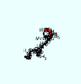 COc1cc2cc(c1Cl)N(C)C(=O)C[C@H](OC(=O)[C@H](N)N(C)C(=O)CCSC1CC(=O)N(CC3CCC(C(=O)NCCCCNC4(C(=O)CCCNC(=O)[C@H](CCCCN)NC(=O)C(Cc5ccccc5)NC(=O)CC(C)(C)COCCOC(C)(C)CCC(=O)NCC(=O)N5Cc6ccccc6/C=C\C6C=CC=CC65)CC4)CC3)C1=O)[C@]1(N)O[C@H]1[C@H](C)[C@@H]1C[C@@](O)(NC(=O)O1)[C@H](O)/C=C/C=C(\C)C2